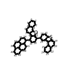 c1ccc2c(c1)ccc1c2oc2c(-c3ccc4sc5ccc6ccccc6c5c4c3)ccc(-c3ccc4ccc5cccc6ccc3c4c56)c21